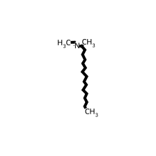 CCCCCCCCCCCCCCCC(C)[N]CC